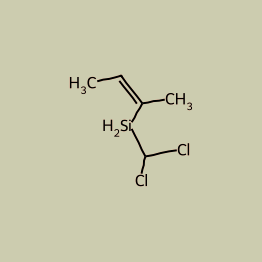 CC=C(C)[SiH2]C(Cl)Cl